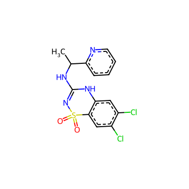 CC(NC1=NS(=O)(=O)c2cc(Cl)c(Cl)cc2N1)c1ccccn1